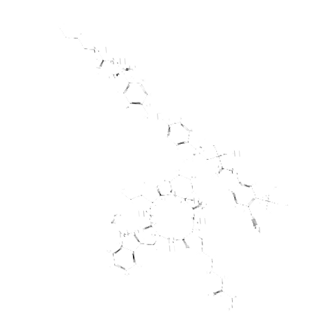 CC(O)(CS(=O)(=O)c1ccc(F)cc1)C(=O)Nc1ccc(C#N)c(C(F)(F)F)c1.CCC(=O)CCCCC[C@@H]1NC(=O)[C@H]2CCCCN2C(=O)[C@H]([C@@H](C)CC)NC(=O)[C@H](Cc2cn(OC)c3ccccc23)NC1=O.CCCCNC(=O)NS(=O)(=O)c1ccc(C)cc1